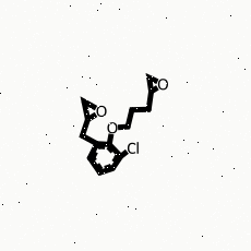 Clc1cccc(CC2CO2)c1OCCCC1CO1